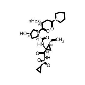 C=C[C@@H]1C[C@]1(NC(=O)[C@@H]1C[C@@H](O)CN1C(=O)[C@H](CCCCCC)CC(=O)N1CCCCC1)C(=O)NS(=O)(=O)C1CC1